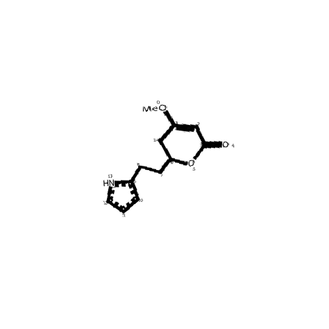 COC1=CC(=O)OC(CCc2ccc[nH]2)C1